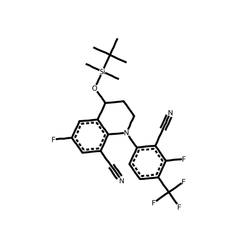 CC(C)(C)[Si](C)(C)OC1CCN(c2ccc(C(F)(F)F)c(F)c2C#N)c2c(C#N)cc(F)cc21